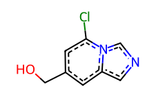 OCc1cc(Cl)n2cncc2c1